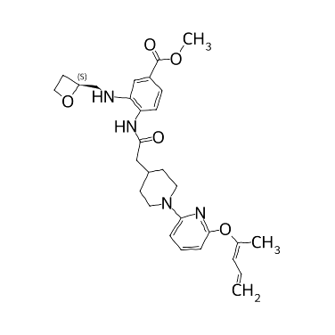 C=CC=C(C)Oc1cccc(N2CCC(CC(=O)Nc3ccc(C(=O)OC)cc3NC[C@@H]3CCO3)CC2)n1